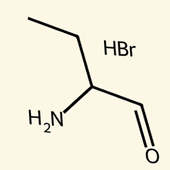 Br.CCC(N)C=O